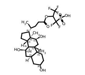 CC(CCC(=O)OC(C(F)(F)F)C(F)(F)S(=O)(=O)O)[C@H]1CC[C@H]2[C@@H]3[C@H](O)C[C@@H]4C[C@H](O)CC[C@]4(C)[C@H]3C[C@H](O)[C@]12C